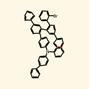 Brc1ccccc1-c1ccc(-c2ccccc2)cc1-c1cc(-c2ccccc2)ccc1-c1ccc(N(c2ccccc2)c2ccc(-c3ccccc3)cc2)cc1